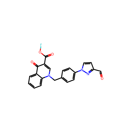 O=Cc1ccn(-c2ccc(Cn3cc(C(=O)OF)c(=O)c4ccccc43)cc2)n1